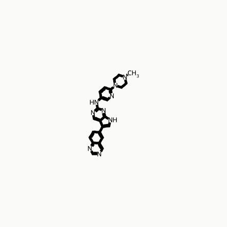 CN1CCN(c2ccc(Nc3ncc4c(-c5ccc6ncncc6c5)c[nH]c4n3)cn2)CC1